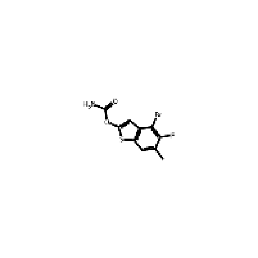 Cc1cc2sc(OC(N)=O)cc2c(Br)c1F